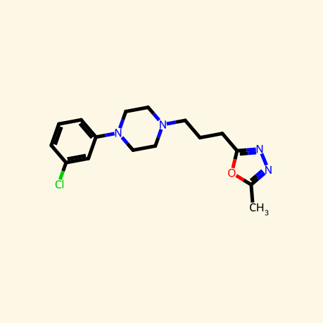 Cc1nnc(CCCN2CCN(c3cccc(Cl)c3)CC2)o1